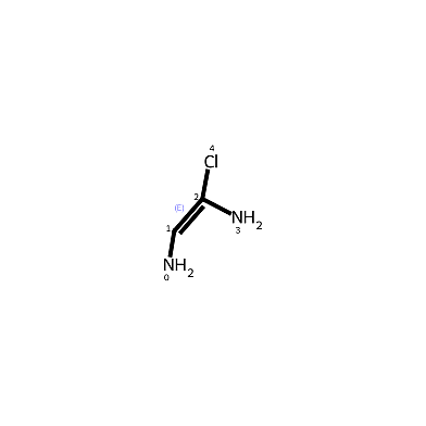 N/C=C(\N)Cl